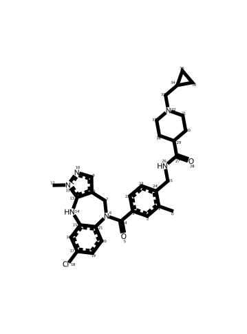 Cc1cc(C(=O)N2Cc3cnn(C)c3Nc3cc(Cl)ccc32)ccc1CNC(=O)C1CCN(CC2CC2)CC1